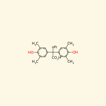 CCCC(C(=O)O)(c1cc(C)c(O)c(C)c1)c1cc(C)c(O)c(C)c1